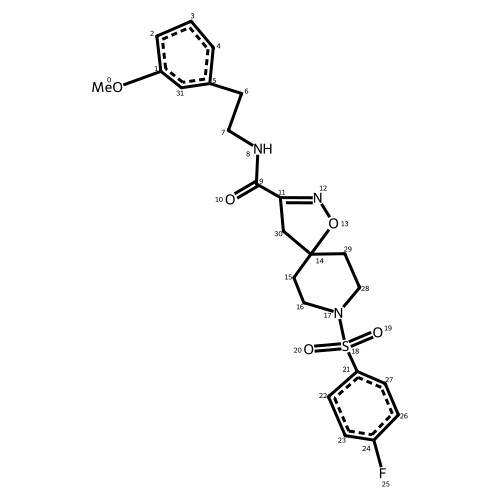 COc1cccc(CCNC(=O)C2=NOC3(CCN(S(=O)(=O)c4ccc(F)cc4)CC3)C2)c1